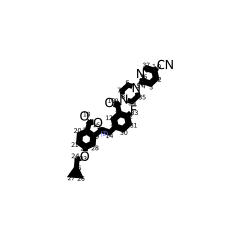 N#Cc1ccc(N2CCN(C(=O)c3cc(/C=C4\OC(=O)c5ccc(OCC6CC6)cc54)ccc3F)CC2)nc1